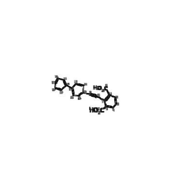 O=C(O)c1cccc(C(=O)O)c1C#Cc1ccc(-c2ccccc2)cc1